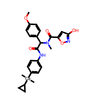 COc1ccc(C(C(=O)Nc2cc[c]([Ge]([CH3])([CH3])[CH]3CC3)cc2)N(C)C(=O)c2cc(O)no2)cc1